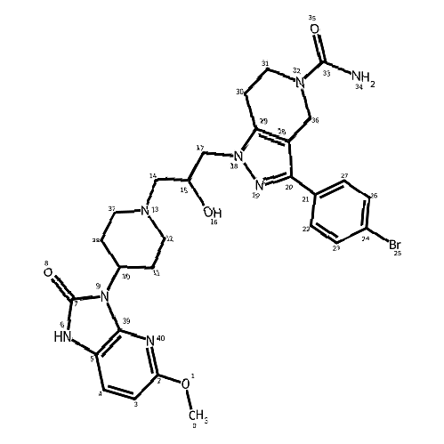 COc1ccc2[nH]c(=O)n(C3CCN(CC(O)Cn4nc(-c5ccc(Br)cc5)c5c4CCN(C(N)=O)C5)CC3)c2n1